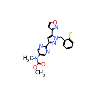 COC(=O)N(C)c1cnc(-c2cc(-c3ccon3)n(Cc3ccccc3F)n2)nc1